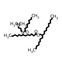 CCCCCCCCCCC(CCCCCCCC)COC(=O)CCCCCC(CCCCCC)N(CCCN(C)C)C(=O)CCCCCCCC